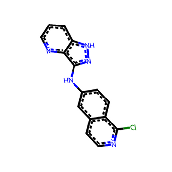 Clc1nccc2cc(Nc3n[nH]c4cccnc34)ccc12